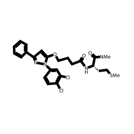 CNC(=O)[C@H](CCSC)NC(=O)CCCOc1cc(-c2ccccc2)nn1-c1ccc(Cl)c(Cl)c1